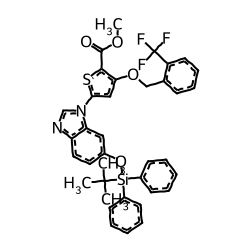 COC(=O)c1sc(-n2cnc3ccc(O[Si](c4ccccc4)(c4ccccc4)C(C)(C)C)cc32)cc1OCc1ccccc1C(F)(F)F